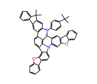 CC(C)(C)c1ccc(N2B3c4cc5c(cc4-n4c6ccc7c8ccccc8oc7c6c6ccc(c3c64)-c3cc4c(cc32)C(C)(C)c2ccccc2-4)oc2ccccc25)cc1